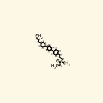 C=CCCC1CCC(c2ccc(-c3ccc(CCCN(C)C(=O)C=C)cc3)cc2)CC1